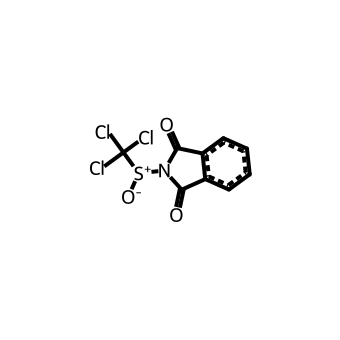 O=C1c2ccccc2C(=O)N1[S+]([O-])C(Cl)(Cl)Cl